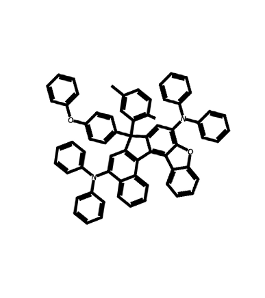 Cc1ccc(C)c(C2(c3ccc(Oc4ccccc4)cc3)c3cc(N(c4ccccc4)c4ccccc4)c4ccccc4c3-c3c2cc(N(c2ccccc2)c2ccccc2)c2oc4ccccc4c32)c1